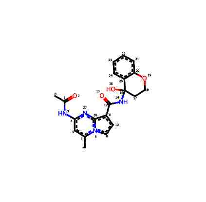 CC(=O)Nc1cc(C)n2ccc(C(=O)NC3(O)CCOc4ccccc43)c2n1